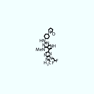 CNc1nc(N[C@H]2CC[C@H](N3CCCC3=O)CC2)nc2[nH]cc(-c3cnc4nc(C)n(CC(F)F)c4n3)c12